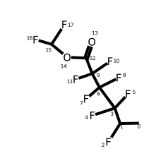 CC(F)C(F)(F)C(F)(F)C(F)(F)C(=O)OC(F)F